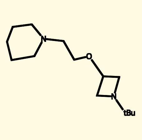 CC(C)(C)N1CC(OCCN2CCCCC2)C1